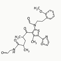 COc1ccccc1CCN(C=O)c1sc(-c2ncco2)c(C)c1C(=O)C(C)CC(C)C(=O)NCC=O